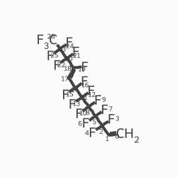 C=CC(F)(F)C(F)(F)C(F)(F)C(F)(F)C(F)(F)/C=C(\F)C(F)(F)C(F)(F)C(F)(F)F